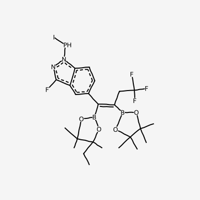 CCC1(C)OB(/C(=C(/CC(F)(F)F)B2OC(C)(C)C(C)(C)O2)c2ccc3c(c2)c(F)nn3PI)OC1(C)C